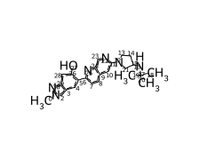 Cn1cc2cc(-c3ccc4cc(N5CCC(NC(C)(C)C)C5)ncc4n3)c(O)cc2n1